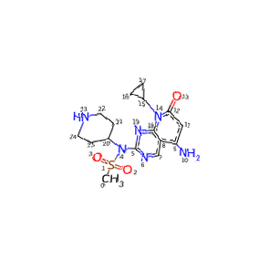 CS(=O)(=O)N(c1ncc2c(N)cc(=O)n(C3CC3)c2n1)C1CCNCC1